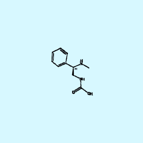 CN[C@@H](CNC(=O)O)c1ccccc1